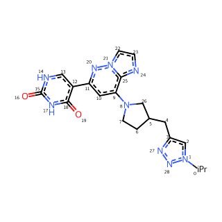 CC(C)n1cc(CC2CCN(c3cc(-c4c[nH]c(=O)[nH]c4=O)nn4ccnc34)C2)nn1